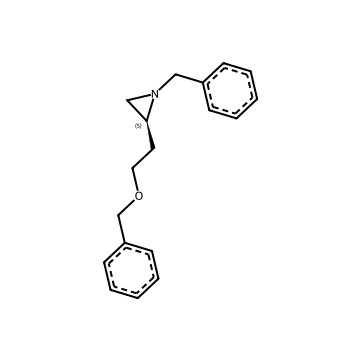 c1ccc(COCC[C@H]2CN2Cc2ccccc2)cc1